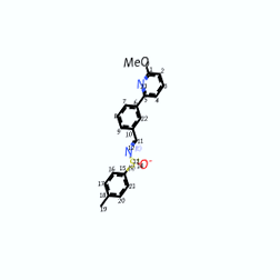 COc1cccc(-c2cccc(/C=N/[S@+]([O-])c3ccc(C)cc3)c2)n1